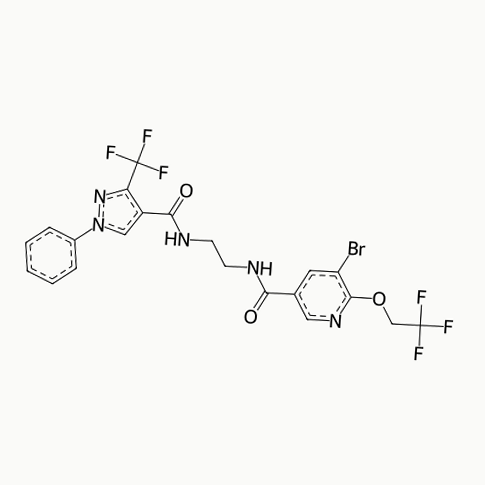 O=C(NCCNC(=O)c1cn(-c2ccccc2)nc1C(F)(F)F)c1cnc(OCC(F)(F)F)c(Br)c1